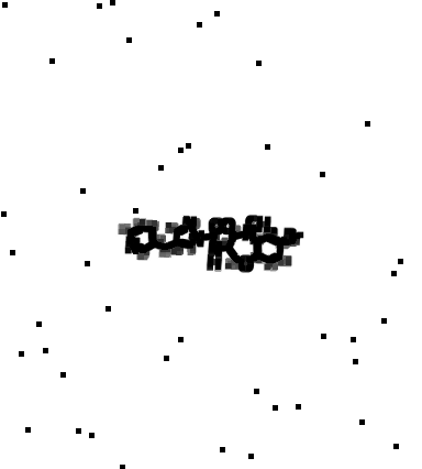 CN1C(=O)[C@H](NC(=O)n2cc(Cc3cccnc3)cn2)COc2ccc(Br)cc21